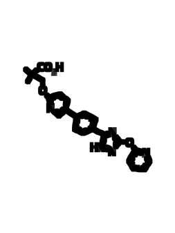 CC(C)(COc1ccc(-c2ccc(-c3nc(Oc4ccccn4)n[nH]3)cc2)cn1)C(=O)O